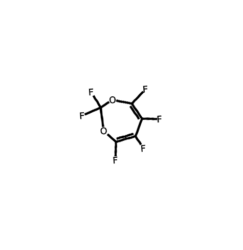 FC1=C(F)C(F)=C(F)OC(F)(F)O1